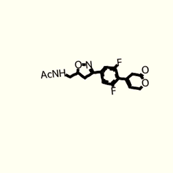 CC(=O)NCC1CC(c2cc(F)c(C3=CCOC(=O)C3)c(F)c2)=NO1